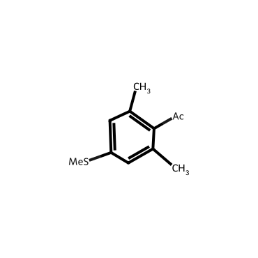 CSc1cc(C)c(C(C)=O)c(C)c1